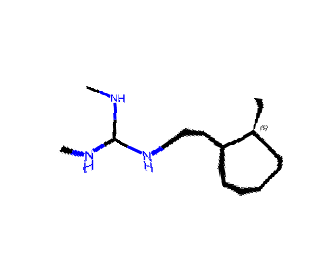 CNC(NC)NCC1CCC[C@@H]1C